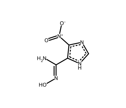 N/C(=N\O)c1[nH]cnc1[N+](=O)[O-]